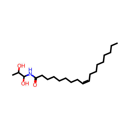 CCCCCCCC/C=C\CCCCCCCC(=O)NC(O)C(C)O